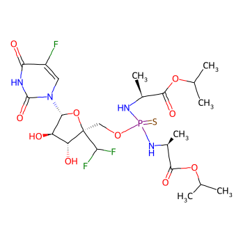 CC(C)OC(=O)[C@H](C)NP(=S)(N[C@@H](C)C(=O)OC(C)C)OC[C@@]1(C(F)F)O[C@@H](n2cc(F)c(=O)[nH]c2=O)[C@H](O)[C@H]1O